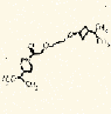 CC(C)C1CCN(C(=O)COCCCOC2CC(C(C)C)C2)CC1